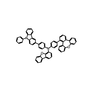 c1ccc(-n2c3ccccc3c3cc(-c4ccc(N(c5ccc(-c6cccc7c6-c6ccccc6Oc6ccccc6-7)cc5)c5cccc6c5oc5ccccc56)cc4)ccc32)cc1